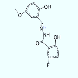 COc1ccc(O)c(/C=N/NC(=O)c2cc(F)ccc2O)c1